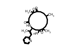 CCCC12CC(C(C)=Cc3ccccn3)NC(=O)CCC(C)(C)C(=O)CCC(C)CCCC1(C)O2